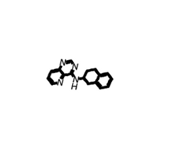 c1ccc2c(c1)CCC(Nc1ncnc3cccnc13)C2